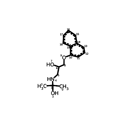 CC(C)(O)NCC(O)COc1cccc2ccccc12